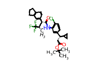 C[C@H]([C@@H](C(=O)Nc1cc([C@@H](CC(=O)OC(C)(C)C)C2CC2)ccc1Cl)c1ccc2c(c1)CCC2)C(F)(F)F